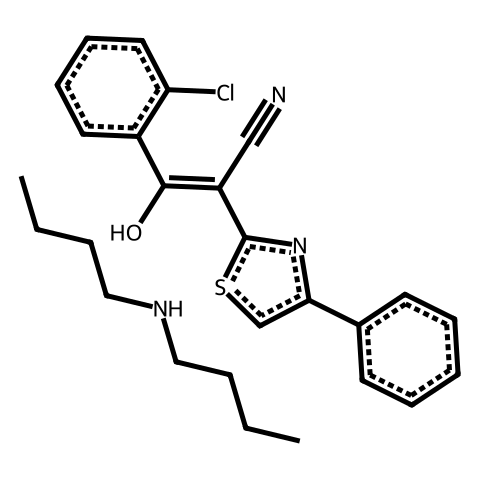 CCCCNCCCC.N#CC(=C(O)c1ccccc1Cl)c1nc(-c2ccccc2)cs1